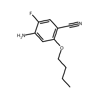 CCCCOc1cc(N)c(F)cc1C#N